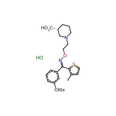 COc1cccc(/C(=N/OCCN2CCC[C@@H](C(=O)O)C2)c2sccc2C)c1.Cl